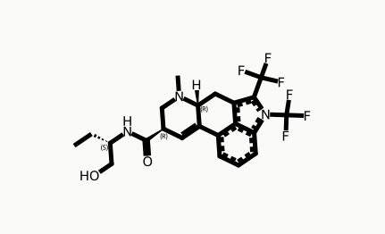 CC[C@@H](CO)NC(=O)[C@@H]1C=C2c3cccc4c3c(c(C(F)(F)F)n4C(F)(F)F)C[C@H]2N(C)C1